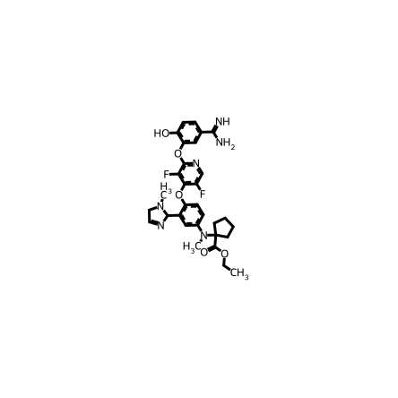 CCOC(=O)C1(N(C)c2ccc(Oc3c(F)cnc(Oc4cc(C(=N)N)ccc4O)c3F)c(C3N=CCN3C)c2)CCCC1